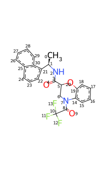 C[C@@H](NC(=O)C1CN(C(=O)C(F)(F)F)c2ccccc2O1)c1cccc2ccccc12